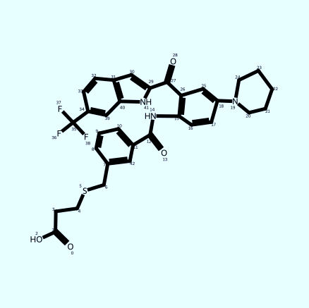 O=C(O)CCSCc1cccc(C(=O)Nc2ccc(N3CCCCC3)cc2C(=O)c2cc3ccc(C(F)(F)F)cc3[nH]2)c1